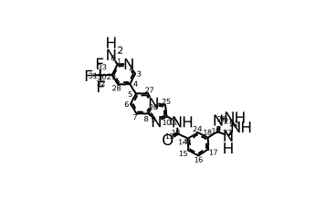 Nc1ncc(-c2ccc3nc(NC(=O)c4cccc(C5=NNNN5)c4)cn3c2)cc1C(F)(F)F